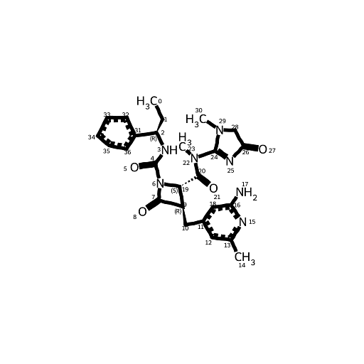 CC[C@@H](NC(=O)N1C(=O)[C@H](Cc2cc(C)nc(N)c2)[C@H]1C(=O)N(C)C1=NC(=O)CN1C)c1ccccc1